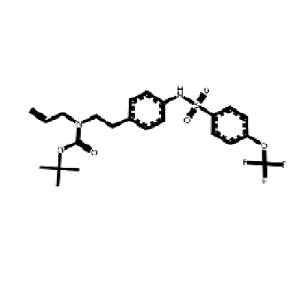 C=CCN(CCc1ccc(NS(=O)(=O)c2ccc(OC(F)(F)F)cc2)cc1)C(=O)OC(C)(C)C